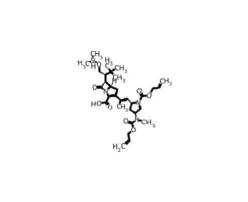 C=CCOC(=O)N(C)[C@H]1C[C@@H](C=C(C)C2=C(C(=O)O)N3C(=O)[C@@H]([C@@H](CO[SiH](C)C)C(C)(C)C)[C@H]3C2)N(C(=O)OCC=C)C1